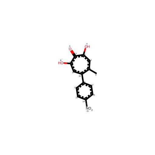 Cc1cc(O)c(=O)c(O)cc1-c1ccc([N+](=O)[O-])cc1